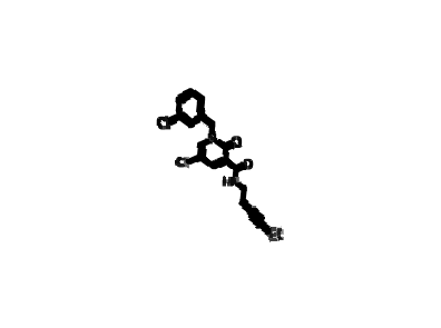 CCC#CCCNC(=O)c1cc(Cl)cn(Cc2cccc(Cl)c2)c1=O